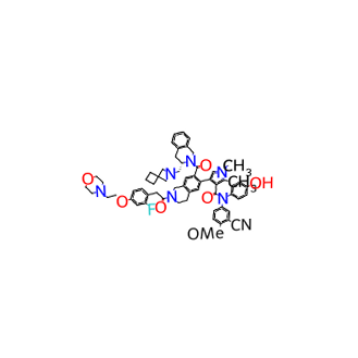 COc1ccc(N(C(=O)c2c(-c3cc4c(cc3C(=O)N3Cc5ccccc5C[C@H]3CN3CC5(CCC5)C3)CN(C(=O)Cc3ccc(OCCN5CCOCC5)cc3F)CC4)cn(C)c2C)c2ccc(O)cc2)cc1C#N